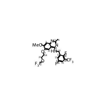 COc1cc2nc(C)nc(NCc3cc(F)cc(C(F)(F)F)c3F)c2cc1OCCOC(F)(F)F